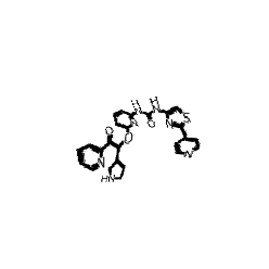 O=C(Nc1cccc(OC(C(=O)c2ccccn2)C2CCNC2)n1)Nc1csc(-c2ccncc2)n1